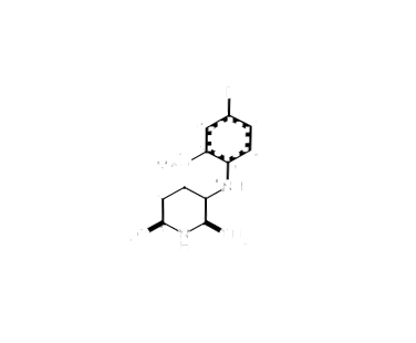 C=C1NC(=O)CCC1Nc1ccc(F)cc1OC